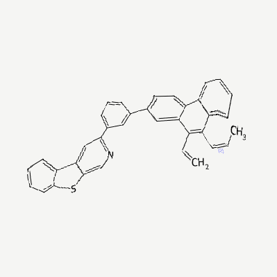 C=Cc1c(/C=C\C)c2ccccc2c2ccc(-c3cccc(-c4cc5c(cn4)sc4ccccc45)c3)cc12